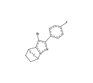 Fc1ccc(-c2nn3c(c2Br)C2CCC3CC2)cc1